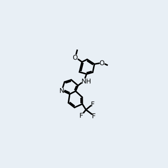 COc1cc(Nc2ccnc3ccc(C(F)(F)F)cc23)cc(OC)c1